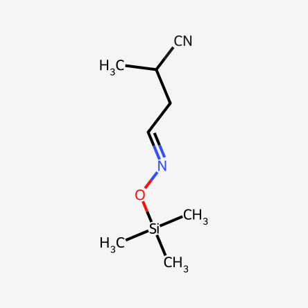 CC(C#N)CC=NO[Si](C)(C)C